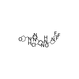 O=C(Nc1cc(-c2cncc(NCC3CCOCC3)n2)c(Cl)cn1)[C@@H]1CCCN(CC(F)(F)F)C1